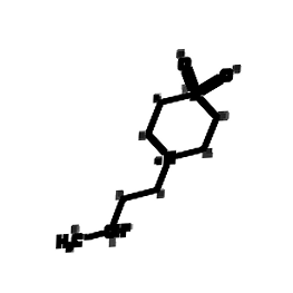 [CH2-][OH+]CCN1CCS(=O)(=O)CC1